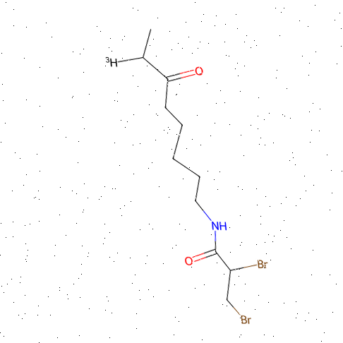 [3H]C(C)C(=O)CCCCCNC(=O)C(Br)CBr